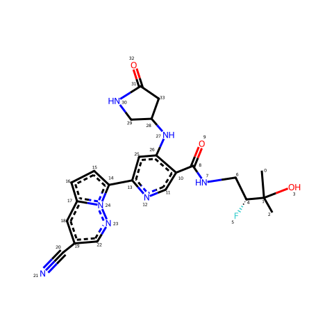 CC(C)(O)[C@H](F)CNC(=O)c1cnc(-c2ccc3cc(C#N)cnn23)cc1NC1CNC(=O)C1